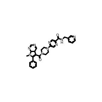 CN1C(c2ccccc2)=C(C(=O)N2CCN(c3cnc(C(=O)NCc4cccnc4)cn3)CC2)C2C=NC=NC21